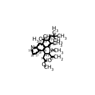 C=C(O)C1C(CCOC)c2c3c(cc4ncccc24)C(C)(C)/C(=C/C(C)(C)C)C(C)=C3N1C